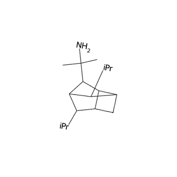 CC(C)C1C2CC3C(C(C)C)C1C(C(C)(C)N)C23